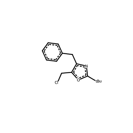 CC(C)(C)c1nc(Cc2ccccc2)c(CCl)o1